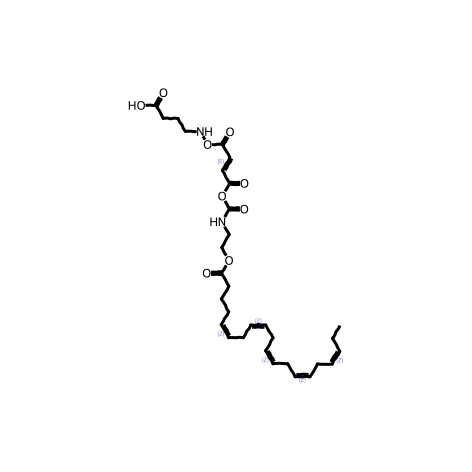 CC/C=C\C/C=C\C/C=C\C/C=C\C/C=C\CCCC(=O)OCCNC(=O)OC(=O)/C=C/C(=O)ONCCCC(=O)O